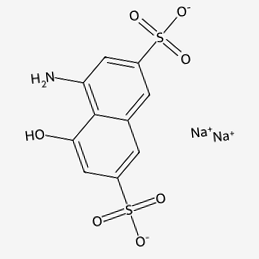 Nc1cc(S(=O)(=O)[O-])cc2cc(S(=O)(=O)[O-])cc(O)c12.[Na+].[Na+]